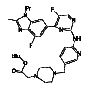 Cc1nc2c(F)cc(-c3nc(Nc4ccc(CN5CCN(CC(=O)OC(C)(C)C)CC5)cn4)ncc3F)cc2n1C(C)C